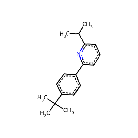 CC(C)c1cccc(-c2ccc(C(C)(C)C)cc2)n1